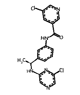 C[C@H](Nc1cncc(Cl)n1)c1cccc(NC(=O)c2cncc(Cl)c2)c1